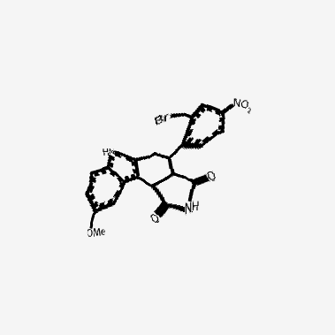 COc1ccc2[nH]c3c(c2c1)C1C(=O)NC(=O)C1C(c1ccc([N+](=O)[O-])cc1Br)C3